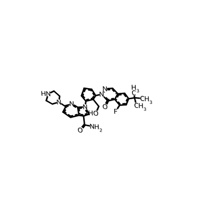 CC(C)(C)c1cc(F)c2c(=O)n(-c3cccc(-n4cc(C(N)=O)c5ccc(N6CCNCC6)nc54)c3CO)ncc2c1